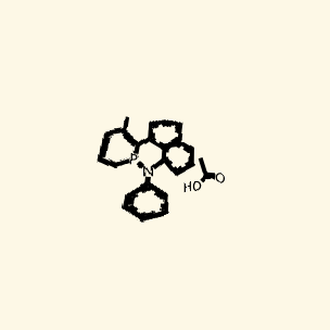 CC(=O)O.CC1=C(c2ccccc2)P(N(c2ccccc2)c2ccccc2)CC=C1